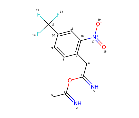 CC(=N)OC(=N)Cc1ccc(C(F)(F)F)cc1[N+](=O)[O-]